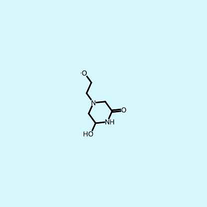 [O]CCN1CC(=O)NC(O)C1